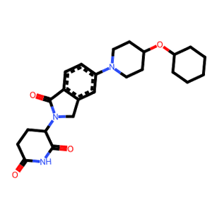 O=C1CCC(N2Cc3cc(N4CCC(OC5CCCCC5)CC4)ccc3C2=O)C(=O)N1